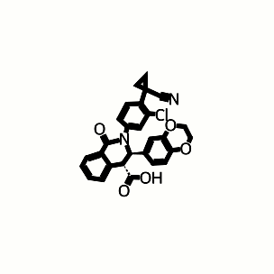 N#CC1(c2ccc(N3C(=O)c4ccccc4[C@@H](C(=O)O)[C@@H]3c3ccc4c(c3)OCCO4)cc2Cl)CC1